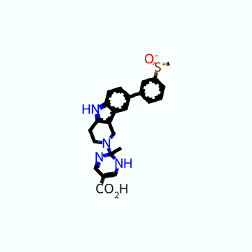 C[S+]([O-])c1cccc(-c2ccc3[nH]c4c(c3c2)CN(C2(C)N=CC(C(=O)O)=CN2)CC4)c1